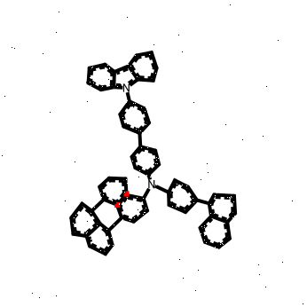 c1ccc(-c2cccc3cccc(-c4ccc(N(c5ccc(-c6ccc(-n7c8ccccc8c8ccccc87)cc6)cc5)c5ccc(-c6cccc7ccccc67)cc5)cc4)c23)cc1